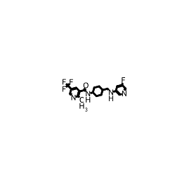 Cc1ncc(C(F)(F)F)cc1C(=O)NC1CCC(CNc2cncc(F)c2)CC1